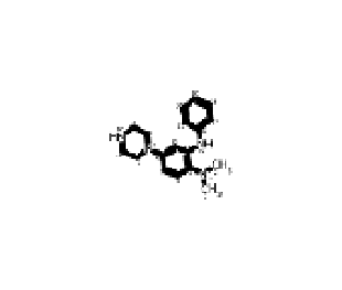 CN(C)c1ccc(N2CCNCC2)cc1Nc1ccccc1